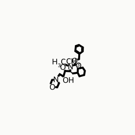 CC1(C)OC(C(O)CN2CCOCC2)[C@H](CC2CCCCC2)N1C(=O)OCc1ccccc1